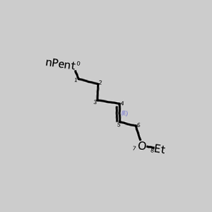 CCCCCCCC/C=C/COCC